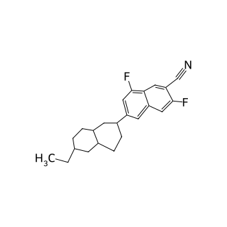 CCC1CCC2CC(c3cc(F)c4cc(C#N)c(F)cc4c3)CCC2C1